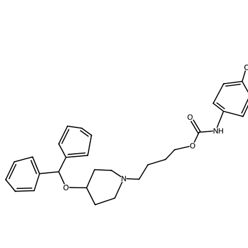 O=C(Nc1ccc(Cl)cc1)OCCCCN1CCC(OC(c2ccccc2)c2ccccc2)CC1